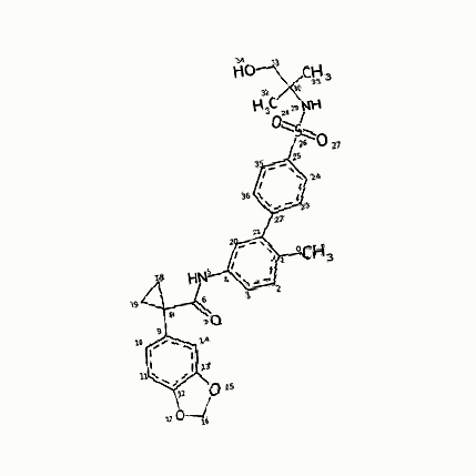 Cc1ccc(NC(=O)C2(c3ccc4c(c3)OCO4)CC2)cc1-c1ccc(S(=O)(=O)NC(C)(C)CO)cc1